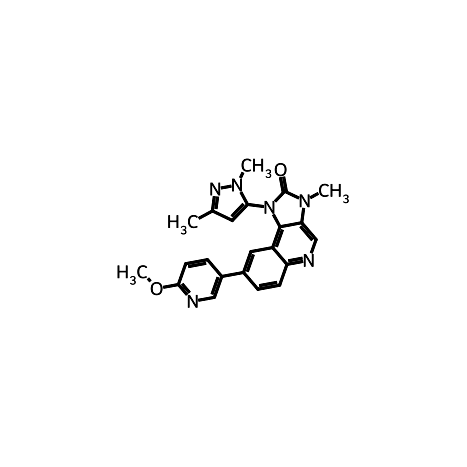 COc1ccc(-c2ccc3ncc4c(c3c2)n(-c2cc(C)nn2C)c(=O)n4C)cn1